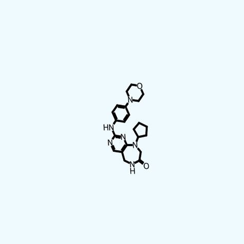 O=C1CN(C2CCCC2)c2nc(Nc3ccc(N4CCOCC4)cc3)ncc2CN1